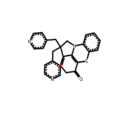 O=C1CC=C2C3=C1Sc1ccccc1N3CC2(Cc1ccncc1)Cc1ccncc1